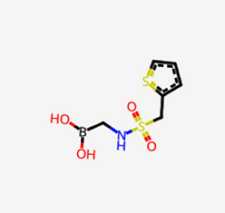 O=S(=O)(Cc1cccs1)NCB(O)O